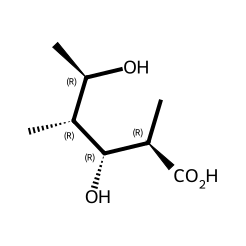 C[C@@H]([C@@H](O)[C@@H](C)C(=O)O)[C@@H](C)O